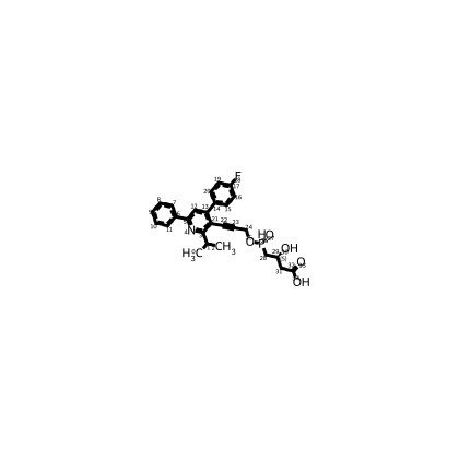 CC(C)c1nc(-c2ccccc2)cc(-c2ccc(F)cc2)c1C#CCO[PH](=O)C[C@@H](O)CC(=O)O